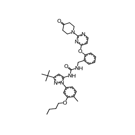 CCCCOc1cc(-n2nc(C(C)(C)C)cc2NC(=O)NCc2ccccc2Oc2ccnc(N3CCC(=O)CC3)n2)ccc1C